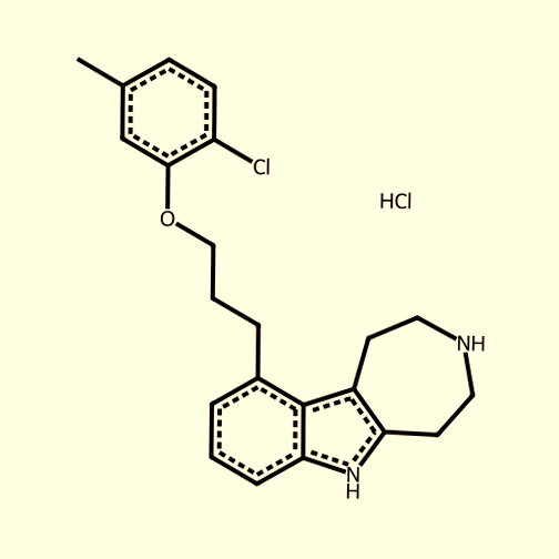 Cc1ccc(Cl)c(OCCCc2cccc3[nH]c4c(c23)CCNCC4)c1.Cl